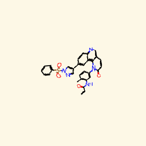 C=CC(=O)Nc1cc(-n2c(=O)ccc3cnc4ccc(-c5cnn(S(=O)(=O)c6ccccc6)c5)cc4c32)ccc1C